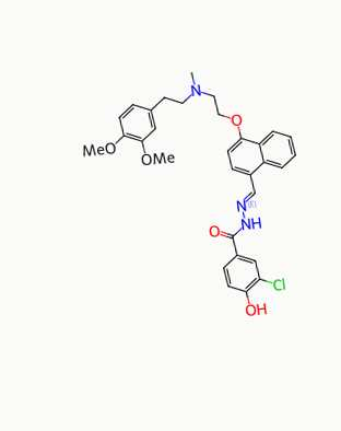 COc1ccc(CCN(C)CCOc2ccc(/C=N/NC(=O)c3ccc(O)c(Cl)c3)c3ccccc23)cc1OC